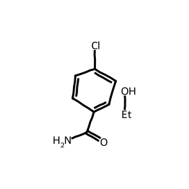 CCO.NC(=O)c1ccc(Cl)cc1